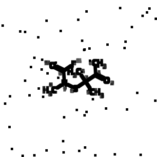 CC(=O)C(C)(C)SN(C)C(=O)F